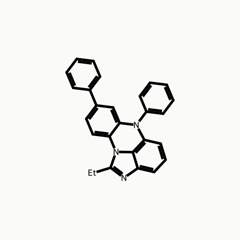 CCc1nc2cccc3c2n1-c1ccc(-c2ccccc2)cc1N3c1ccccc1